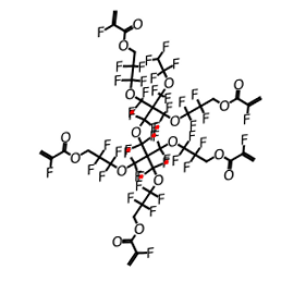 C=C(F)C(=O)OCC(F)(F)C(F)(F)OC(F)(F)C(C(F)(F)OC(F)(F)C(F)F)(C(F)(F)OC(F)(F)C(F)(F)COC(=O)C(=C)F)C(F)(F)OC(F)(F)C(C(F)(F)OC(F)(F)C(F)(F)COC(=O)C(=C)F)(C(F)(F)OC(F)(F)C(F)(F)COC(=O)C(=C)F)C(F)(F)OC(F)(F)C(F)(F)COC(=O)C(=C)F